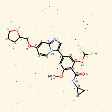 COc1cc(-c2cnc3cc(OCC4CCCO4)ccn23)cc(OC(F)F)c1C(=O)NC1CC1